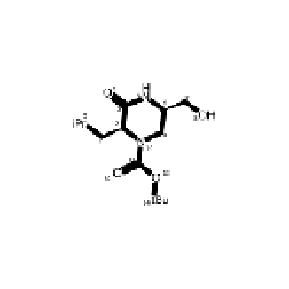 CC(C)C[C@H]1C(=O)N[C@@H](CO)CN1C(=O)OC(C)(C)C